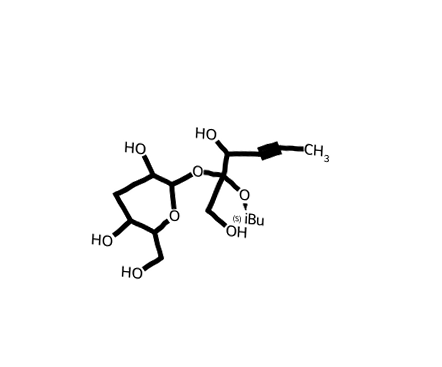 CC#CC(O)C(CO)(OC1OC(CO)C(O)CC1O)O[C@@H](C)CC